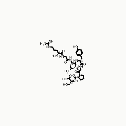 CC(C)C[C@H](NC(=O)CNC(=O)[C@@H](N)CCCNC(=N)N)C(=O)N[C@@H](Cc1ccc(O)cc1)C(=O)NCC(=O)N1CCC[C@H]1C(=O)N[C@@H](CO)C(=O)O